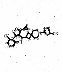 N#Cc1cnc(N2CCC3(CC2)CC(Cc2c(-c4c(Cl)cccc4Cl)noc2C2CC2)C3)s1